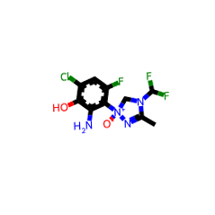 CC1=N[N+]([O-])(c2c(F)cc(Cl)c(O)c2N)CN1C(F)F